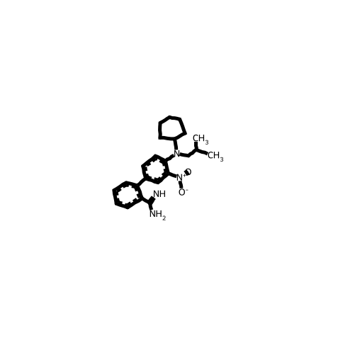 CC(C)CN(c1ccc(-c2ccccc2C(=N)N)cc1[N+](=O)[O-])C1CCCCC1